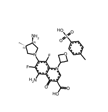 C[C@H]1CN(c2c(F)c(N)c3c(=O)c(C(=O)O)cn(C4COC4)c3c2F)C[C@@H]1N.Cc1ccc(S(=O)(=O)O)cc1